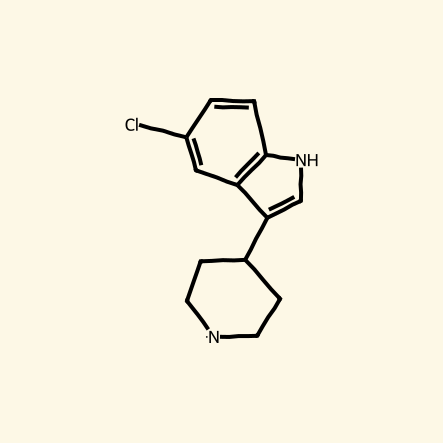 Clc1ccc2[nH]cc(C3CC[N]CC3)c2c1